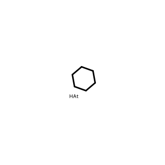 C1CCCCC1.[AtH]